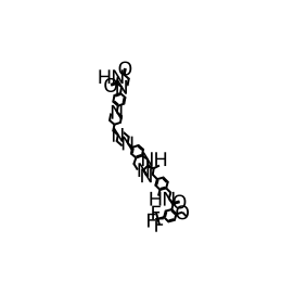 COc1ccc(C(F)(F)F)cc1C(=O)NCc1ccc(-c2nn3c(c2C)Nc2ccc(N4CCN(CC5CCN(c6ccc(N7CCC(=O)NC7=O)cc6)CC5)CC4)cc2CC3)cc1C